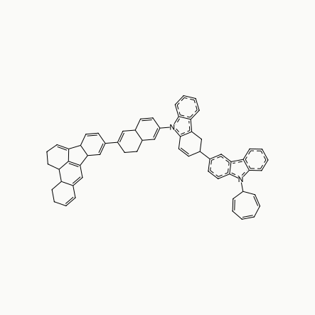 C1=CC=CC(n2c3ccccc3c3cc(C4C=Cc5c(c6ccccc6n5C5=CC6CCC(C7=CC8C9=C%10C(=CCCC%10C%10CCC=CC%10=C9)C8C=C7)=CC6C=C5)C4)ccc32)C=C1